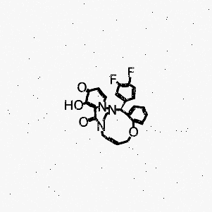 O=C1c2c(O)c(=O)ccn2N2CN1C/C=C\COc1ccccc1[C@@H]2c1ccc(F)c(F)c1